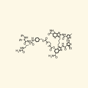 CCn1nc(C)cc1C(=O)Nc1nc2cc(C(N)=O)cnc2n1CCCCn1c(NC(=O)c2cc(C)nn2CC)nc2cc(C(N)=O)cc(OC(=O)N(C)CCN(C)C(=O)OCc3ccc(NC(=O)[C@H](CCCNC(N)=O)NC(=O)[C@@H](NC(C)C)C(C)C)cc3)c21